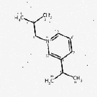 CC(C)C[n+]1cccc(C(C)C)c1